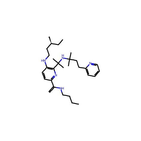 C=C(NCCCC)c1ccc(NCC[C@@H](C)CC)c(C(C)(C)NC(C)(C)CCc2ccccn2)n1